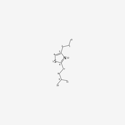 CCCc1csc(CCC(C)C)n1